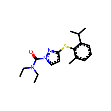 CCN(CC)C(=O)n1ccc(Sc2c(C)cccc2C(C)C)n1